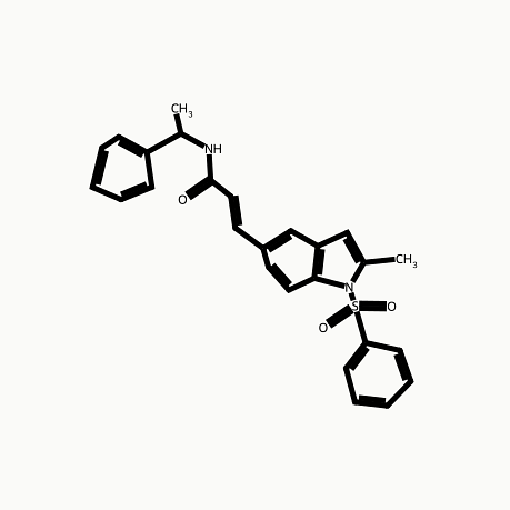 Cc1cc2cc(C=CC(=O)NC(C)c3ccccc3)ccc2n1S(=O)(=O)c1ccccc1